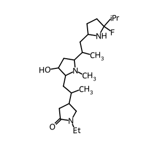 CCN1CC(C(C)CC2C(O)CC(C(C)CC3CCC(F)(C(C)C)N3)N2C)CC1=O